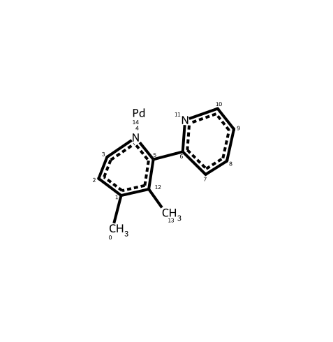 Cc1ccnc(-c2ccccn2)c1C.[Pd]